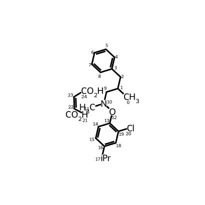 CC(Cc1ccccc1)CN(C)Oc1ccc(C(C)C)cc1Cl.O=C(O)/C=C\C(=O)O